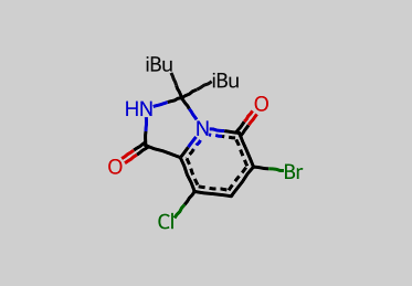 CCC(C)C1(C(C)CC)NC(=O)c2c(Cl)cc(Br)c(=O)n21